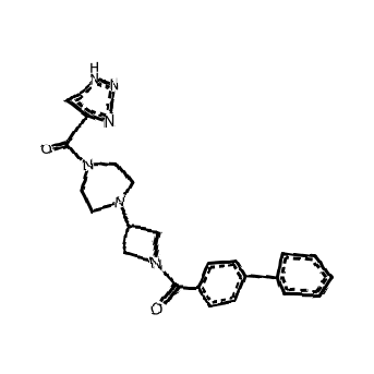 O=C(c1ccc(-c2ccccc2)cc1)N1CC(N2CCN(C(=O)c3c[nH]nn3)CC2)C1